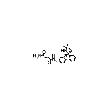 CC(C)(C)NS(=O)(=O)c1ccccc1-c1ccc(CNC(=O)CCC(N)=O)cc1